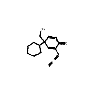 C=C=CC1=CC(CO)(C2CCCCC2)C=CC1=O